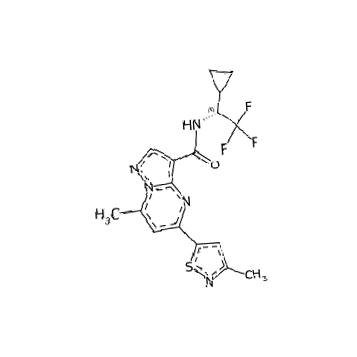 Cc1cc(-c2cc(C)n3ncc(C(=O)N[C@H](C4CC4)C(F)(F)F)c3n2)sn1